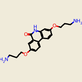 NCCCOc1ccc2c(c1)[nH]c(=O)c1cc(OCCCN)ccc12